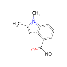 Cc1cc2c(C(=O)N=O)cccc2n1C